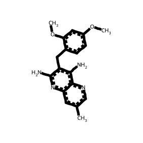 COc1ccc(Cc2c(N)nc3cc(C)cnc3c2N)c(OC)c1